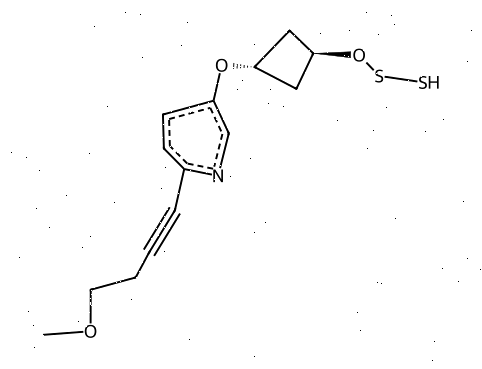 COCCC#Cc1ccc(O[C@H]2C[C@H](OSS)C2)cn1